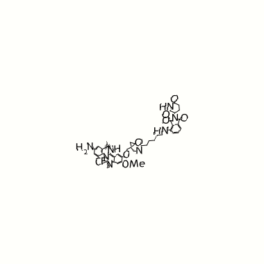 COc1cc2nc(C)nc(N[C@H](C)c3cc(N)cc(C(F)(F)F)c3)c2cc1OCC1(CN(C)C(=O)CCCCCNc2cccc3c2C(=O)N(C2CCC(=O)NC2=O)C3=O)CC1